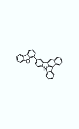 c1ccc2c(c1)cc1c3cc(-c4cccc5c4oc4ccccc45)ccc3n3c4ccccc4c2c13